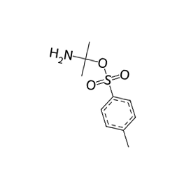 Cc1ccc(S(=O)(=O)OC(C)(C)N)cc1